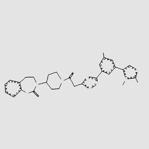 Cc1ncc(-c2cc(Cl)cc(-c3nnc(CC(=O)N4CCC(N5CCc6ccccc6NC5=O)CC4)o3)c2)n1C